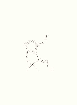 COc1cnc2n1/C(=N/O)C(C)(C)S2